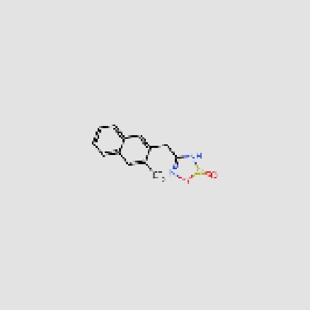 O=S1NC(Cc2cc3ccccc3cc2C(F)(F)F)=NO1